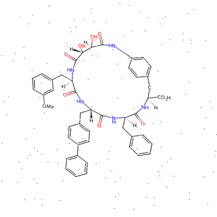 COc1cccc(C[C@H]2NC(=O)[C@H](O)[C@@H](O)C(=O)Nc3ccc(cc3)C[C@@H](C(=O)O)NC(=O)[C@@H](Cc3ccccc3)NC(=O)[C@H](Cc3ccc(-c4ccccc4)cc3)NC2=O)c1